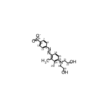 Cc1c(N=Nc2ccc([N+](=O)[O-])cc2)ccc(N(CCO)CCO)c1I